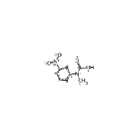 CN(C(=O)O)c1cccc([N+](=O)[O-])c1